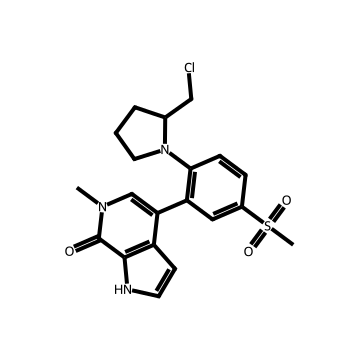 Cn1cc(-c2cc(S(C)(=O)=O)ccc2N2CCCC2CCl)c2cc[nH]c2c1=O